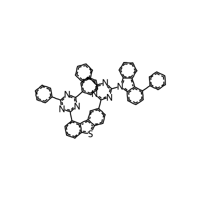 c1ccc(-c2nc(-c3ccccc3)nc(-c3cccc4sc5ccc(-c6nc(-c7ccccc7)nc(-n7c8ccccc8c8c(-c9ccccc9)cccc87)n6)cc5c34)n2)cc1